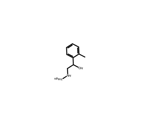 CCCCCNCC(O)c1ccccc1C